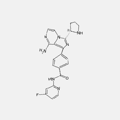 Nc1nccn2c([C@@H]3CCCN3)nc(-c3ccc(C(=O)Nc4cc(F)ccn4)cc3)c12